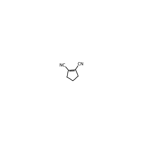 N#CC1=C(C#N)CCC1